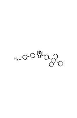 Cc1ccc(-c2ccc(-c3nnc(-c4ccc(-c5c6ccccc6c(-c6ccccc6)c6ccccc56)cc4)o3)cc2)cc1